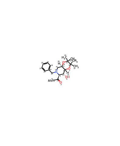 CNC(=O)[C@@H]1[C@@H](O)[C@H]2OC(C)(C)C(C)(C)O[C@@H]2CN1Cc1ccccc1